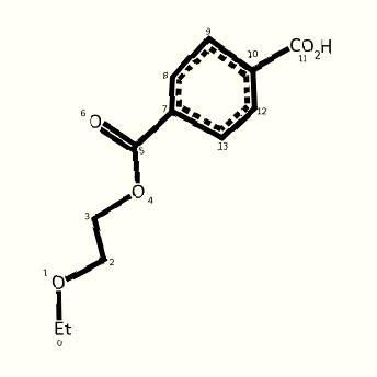 CCOCCOC(=O)c1ccc(C(=O)O)cc1